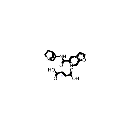 O=C(NC1CN2CCC1C2)c1cc2ccoc2cn1.O=C(O)/C=C/C(=O)O